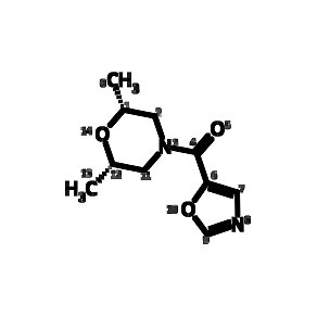 C[C@@H]1CN(C(=O)c2cnco2)C[C@H](C)O1